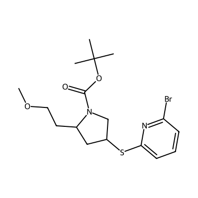 COCCC1CC(Sc2cccc(Br)n2)CN1C(=O)OC(C)(C)C